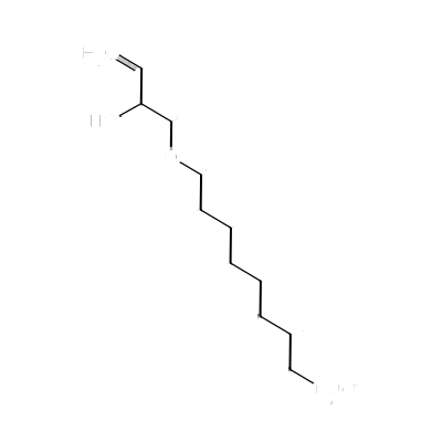 C=CC(O)COCCCCCCCCCCCCCCCC